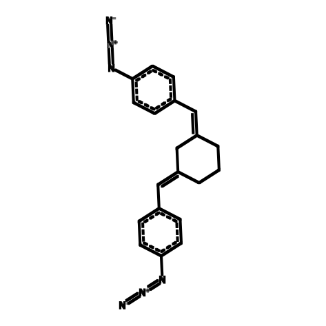 [N-]=[N+]=Nc1ccc(/C=C2/CCC/C(=C\c3ccc(N=[N+]=[N-])cc3)C2)cc1